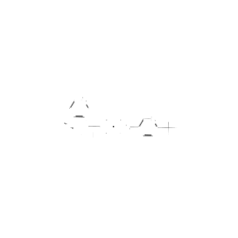 CS(=O)(=O)c1ccncc1C(O)C1CC2(C1)CN(c1ccc(C(F)(F)F)nc1)C2